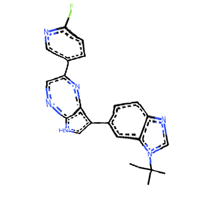 CC(C)(C)n1cnc2ccc(-c3c[nH]c4ncc(-c5ccc(F)nc5)nc34)cc21